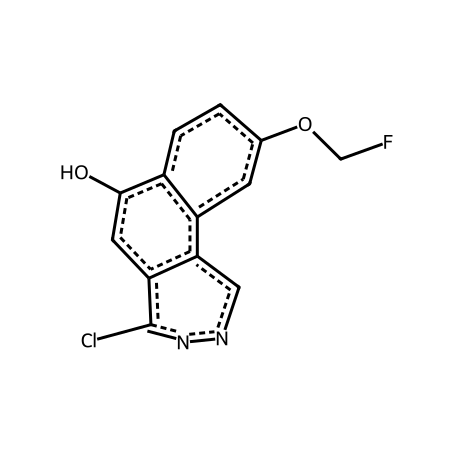 Oc1cc2c(Cl)nncc2c2cc(OCF)ccc12